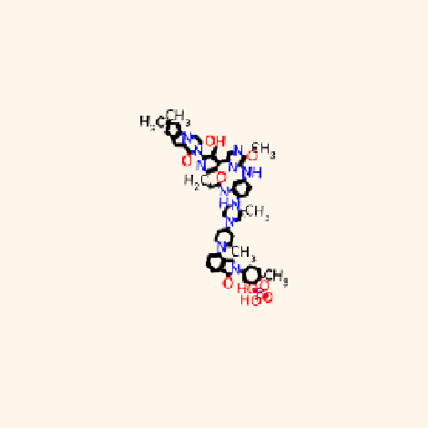 C=CC(=O)Nc1cc(Nc2nc(-c3ccnc(N4CCn5c(cc6c5CC(C)(C)C6)C4=O)c3CO)cnc2OC)ccc1N1CCN(C2CCN(c3cccc4c3CN(C3CCC(C)(OP(=O)(O)O)CC3)C4=O)[C@@H](C)C2)C[C@@H]1C